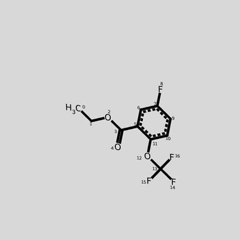 CCOC(=O)c1cc(F)ccc1OC(F)(F)F